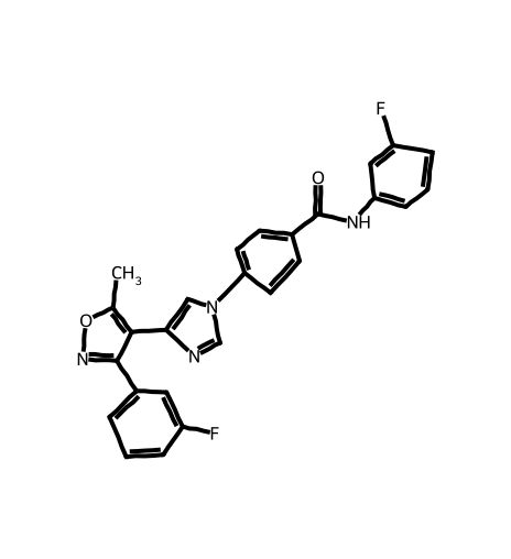 Cc1onc(-c2cccc(F)c2)c1-c1cn(-c2ccc(C(=O)Nc3cccc(F)c3)cc2)cn1